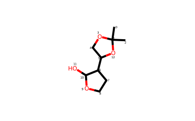 CC1(C)OCC(C2CCOC2O)O1